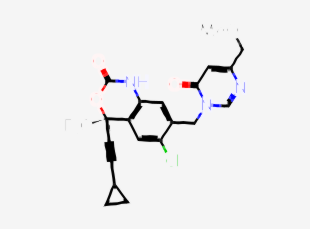 COCc1cc(=O)n(Cc2cc3c(cc2Cl)[C@@](C#CC2CC2)(C(F)(F)F)OC(=O)N3)cn1